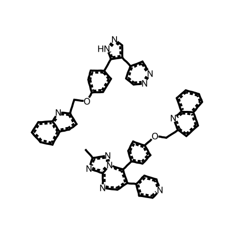 Cc1nc2ncc(-c3ccncc3)c(-c3ccc(OCc4ccc5ccccc5n4)cc3)n2n1.c1ccc2nc(COc3ccc(-c4[nH]ncc4-c4ccnnc4)cc3)ccc2c1